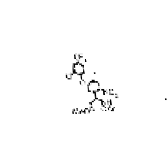 CON=CC(NOC(C)=O)c1cc(Oc2ccc(C(F)(F)F)cc2Cl)ccc1[N+](=O)[O-]